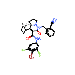 CC12CCCN1N(Cc1ccccc1C#N)C(=O)C(C(=O)Nc1cc(F)c(Br)c(F)c1)=C2C1CCC1